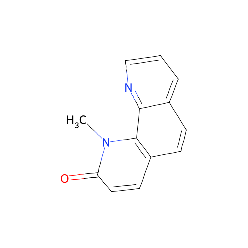 Cn1c(=O)ccc2ccc3cccnc3c21